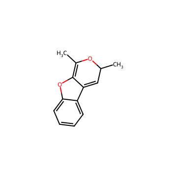 CC1=c2oc3ccccc3c2=CC(C)O1